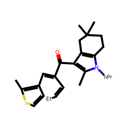 CC/C=C\C(=C/c1ccsc1C)C(=O)c1c2c(n(CCC)c1C)CCC(C)(C)C2